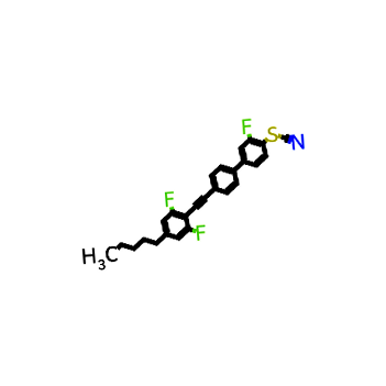 CCCCCc1cc(F)c(C#Cc2ccc(-c3ccc(SC#N)c(F)c3)cc2)c(F)c1